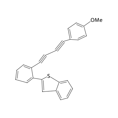 COc1ccc(C#CC#Cc2ccccc2-c2cc3ccccc3s2)cc1